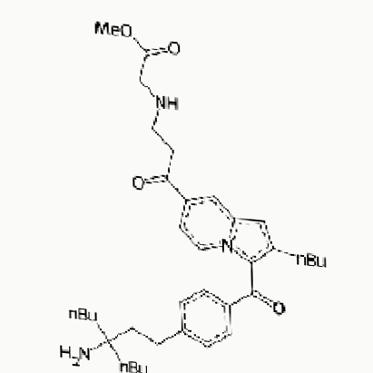 CCCCc1cc2cc(C(=O)CCNCC(=O)OC)ccn2c1C(=O)c1ccc(CCC(N)(CCCC)CCCC)cc1